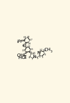 Cc1ccc(CN2CCC(c3ccc(Oc4ccccc4C(C)C)cc3C=O)C2)nc1.Cl